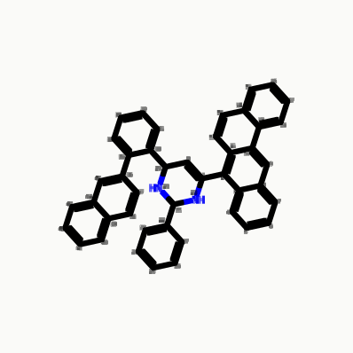 C1=C(c2c3ccccc3cc3c2ccc2ccccc23)NC(c2ccccc2)NC1c1ccccc1-c1ccc2ccccc2c1